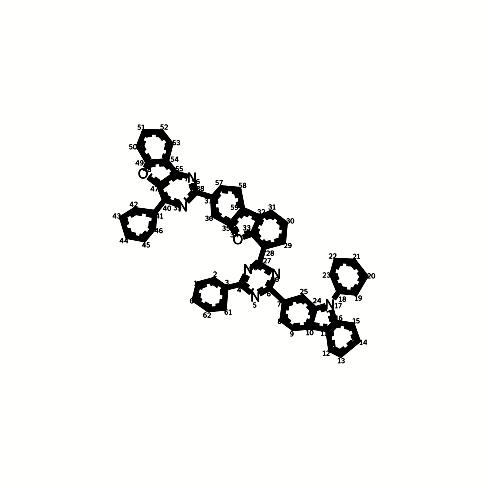 c1ccc(-c2nc(-c3ccc4c5ccccc5n(-c5ccccc5)c4c3)nc(-c3cccc4c3oc3cc(-c5nc(-c6ccccc6)c6oc7ccccc7c6n5)ccc34)n2)cc1